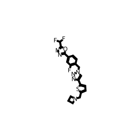 Fc1cc(-c2nnc(C(F)F)o2)ccc1Cn1cc(-c2ccc(CN3CCC3)s2)nn1